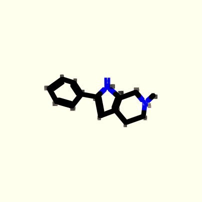 CN1CCc2cc(-c3ccccc3)[nH]c2C1